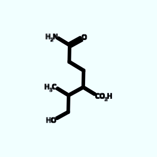 CC(CO)C(CCC(N)=O)C(=O)O